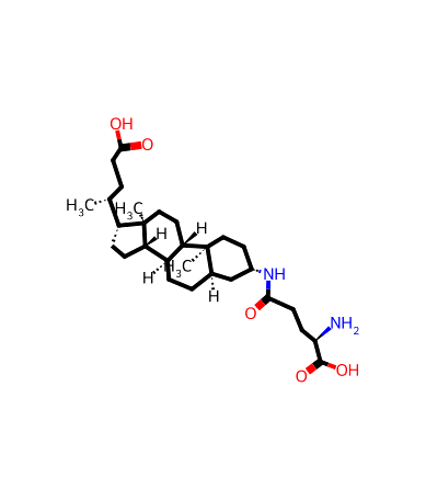 C[C@H](CCC(=O)O)[C@H]1CC[C@H]2[C@@H]3CC[C@@H]4C[C@@H](NC(=O)CC[C@@H](N)C(=O)O)CC[C@]4(C)[C@H]3CC[C@]12C